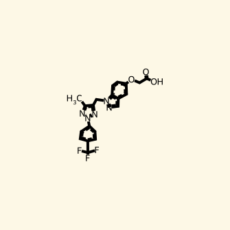 Cc1nn(-c2ccc(C(F)(F)F)cc2)nc1Cn1ncc2cc(OCC(=O)O)ccc21